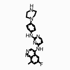 Cc1cc(F)cc2c(Nc3ccnc(Nc4ccc(N5CCNCC5)cc4)n3)cnnc12